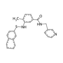 Cc1ccc(C(=O)NCc2cccnc2)cc1NSc1ccc2ccccc2c1